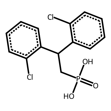 O=P(O)(O)CC(c1ccccc1Cl)c1ccccc1Cl